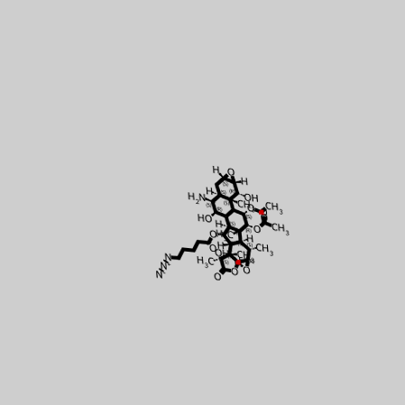 CC(=O)O[C@H]1C2C([C@@H](O)[C@@H](N)[C@H]3C[C@@H]4O[C@@H]4[C@H](O)[C@]23C)[C@@H]2[C@@H](OC(=O)CCCCN=[N+]=[N-])[C@@H]3[C@H]([C@H](C)[C@H]4O[C@]45OC(=O)[C@@](C)(O)[C@]35C)[C@@]2(C)[C@H]1OC(C)=O